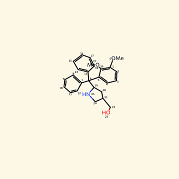 COc1cccc(C(c2ccccc2)(c2ccccc2)C2CC(CO)CN2)c1OC